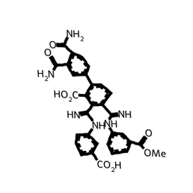 COC(=O)c1cccc(NC(=N)c2ccc(-c3ccc(C(N)=O)c(C(N)=O)c3)c(C(=O)O)c2C(=N)Nc2cccc(C(=O)O)c2)c1